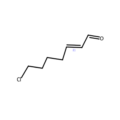 O=C/C=C/CCCCCl